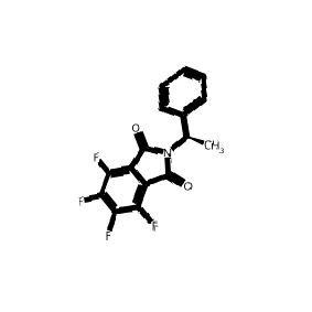 C[C@H](c1ccccc1)N1C(=O)c2c(F)c(F)c(F)c(F)c2C1=O